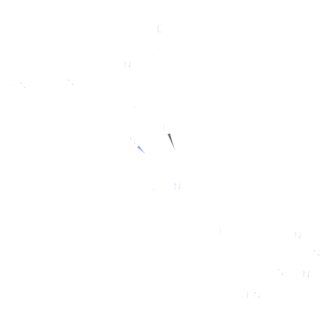 CCO/N=C(\C(=O)N[C@@H]1C(=O)N2C(C(=O)O)=C(CSc3nnnn3N)CS[C@@H]12)c1csc(N)n1